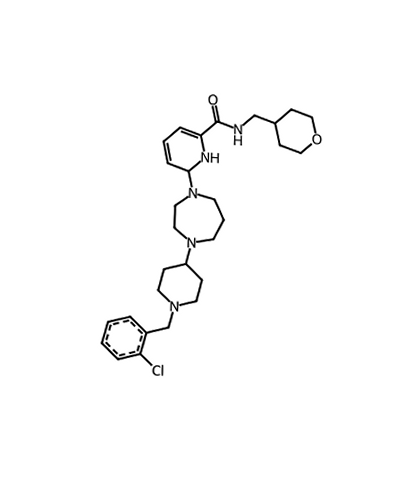 O=C(NCC1CCOCC1)C1=CC=CC(N2CCCN(C3CCN(Cc4ccccc4Cl)CC3)CC2)N1